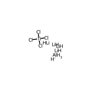 [AlH3].[Cl][Ti]([Cl])([Cl])[Cl].[H-].[LiH].[LiH].[LiH].[LiH]